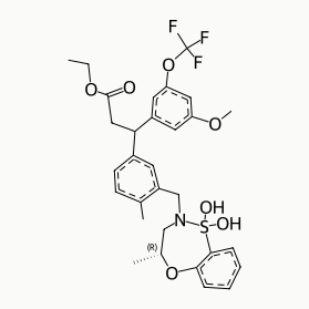 CCOC(=O)CC(c1cc(OC)cc(OC(F)(F)F)c1)c1ccc(C)c(CN2C[C@@H](C)Oc3ccccc3S2(O)O)c1